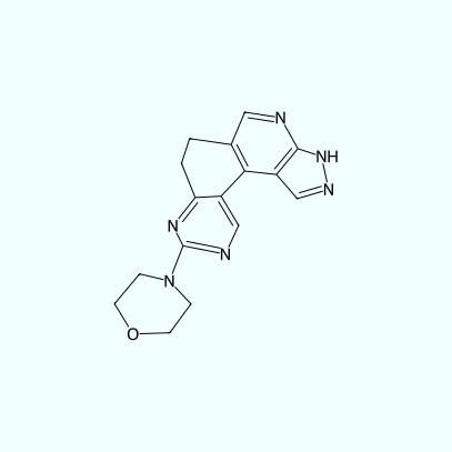 c1nc2[nH]ncc2c2c1CCc1nc(N3CCOCC3)ncc1-2